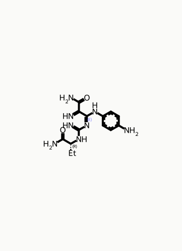 CC[C@@H](NC(=N)/N=C(/Nc1ccc(N)cc1)C(=N)C(N)=O)C(N)=O